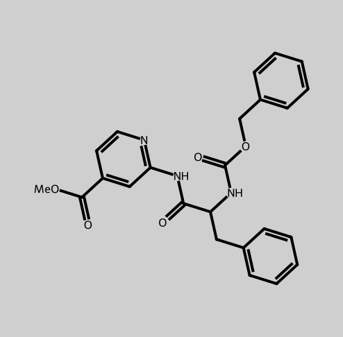 COC(=O)c1ccnc(NC(=O)C(Cc2ccccc2)NC(=O)OCc2ccccc2)c1